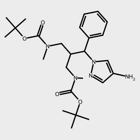 CN(CC(CN(C)C(=O)OC(C)(C)C)C(c1ccccc1)n1cc(N)cn1)C(=O)OC(C)(C)C